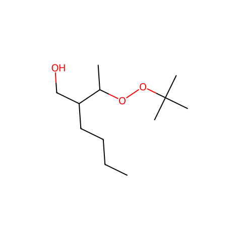 CCCCC(CO)C(C)OOC(C)(C)C